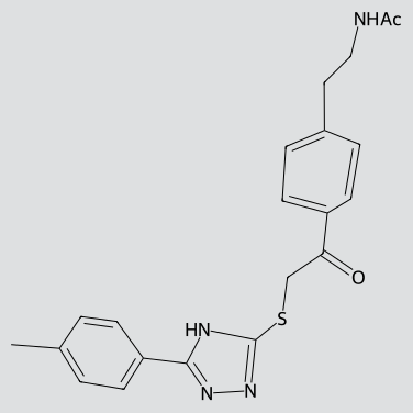 CC(=O)NCCc1ccc(C(=O)CSc2nnc(-c3ccc(C)cc3)[nH]2)cc1